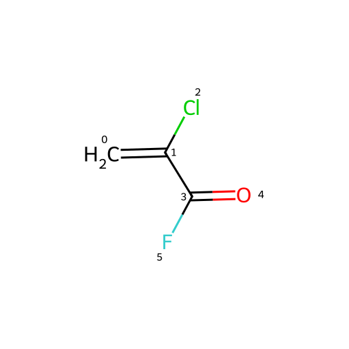 C=C(Cl)C(=O)F